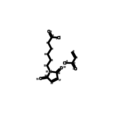 C=CC(=O)Cl.O=C(Cl)CCCCCN1C(=O)C=CC1=O